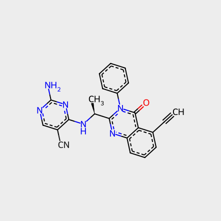 C#Cc1cccc2nc([C@H](C)Nc3nc(N)ncc3C#N)n(-c3ccccc3)c(=O)c12